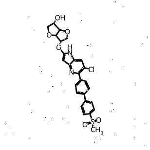 CS(=O)(=O)c1ccc(-c2ccc(-c3nc4cc(O[C@@H]5COC6C5OC[C@H]6O)[nH]c4cc3Cl)cc2)cc1